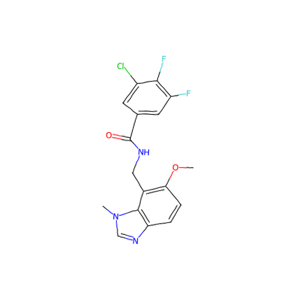 COc1ccc2ncn(C)c2c1CNC(=O)c1cc(F)c(F)c(Cl)c1